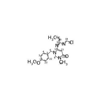 COc1ccc(CN2CN(C)C(=O)C=C2/N=C(\N=C\Cl)SC)cc1